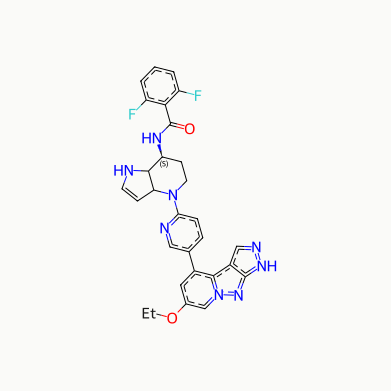 CCOc1cc(-c2ccc(N3CC[C@H](NC(=O)c4c(F)cccc4F)C4NC=CC43)nc2)c2c3cn[nH]c3nn2c1